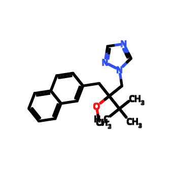 COC(Cc1ccc2ccccc2c1)(Cn1cncn1)C(C)(C)C